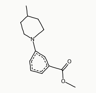 COC(=O)c1cccc(N2CCC(C)CC2)c1